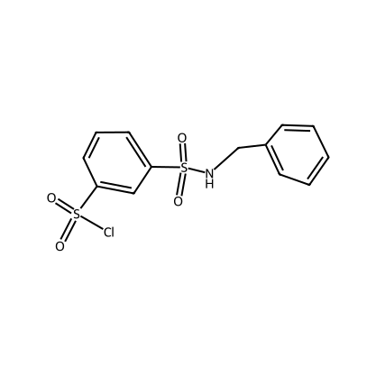 O=S(=O)(Cl)c1cccc(S(=O)(=O)NCc2ccccc2)c1